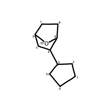 C1CC[C](C2CC3CCC2O3)C1